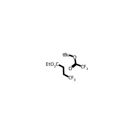 CC(C)(C)OC(=O)C(F)(F)F.CCOC(=O)CCC(F)(F)F